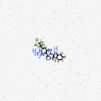 Cn1c(-c2cc3ccc(F)cc3[nH]2)nc(/C=C(\N)C(F)(F)C(F)(F)F)c1N